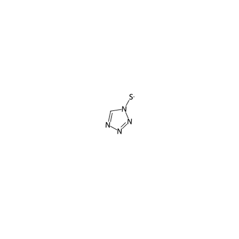 [S]n1cnnn1